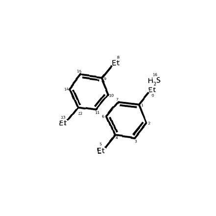 CCc1ccc(CC)cc1.CCc1ccc(CC)cc1.S